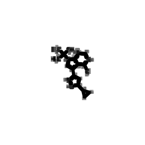 CC(C)(C)n1cc(-c2cc(C3CC3)on2)c2c(Cl)ncnc21